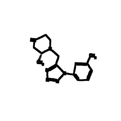 Cc1cccc(-n2nnnc2CN2CCNC[C@H]2C)c1